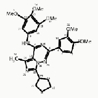 COc1ccc(-c2nc(Nc3cc(OC)c(OC)c(OC)c3)c3c(C)nc(C4CCCC4)n3n2)cc1OC